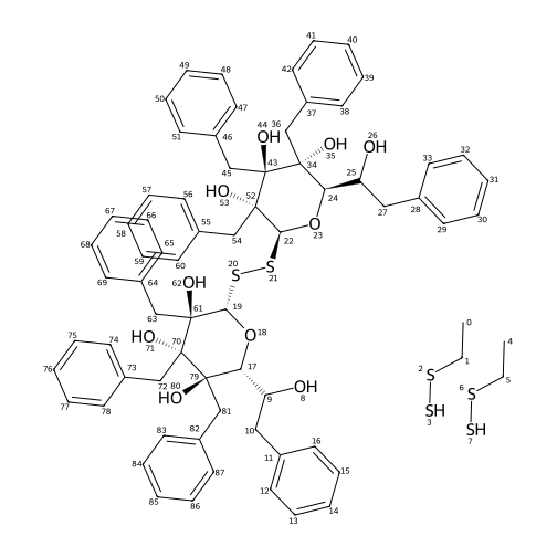 CCSS.CCSS.OC(Cc1ccccc1)[C@H]1O[C@@H](SS[C@@H]2O[C@H](C(O)Cc3ccccc3)[C@](O)(Cc3ccccc3)[C@@](O)(Cc3ccccc3)[C@]2(O)Cc2ccccc2)[C@@](O)(Cc2ccccc2)[C@](O)(Cc2ccccc2)[C@@]1(O)Cc1ccccc1